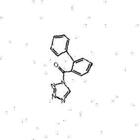 O=C(c1ccccc1-c1ccccc1)n1cnnn1